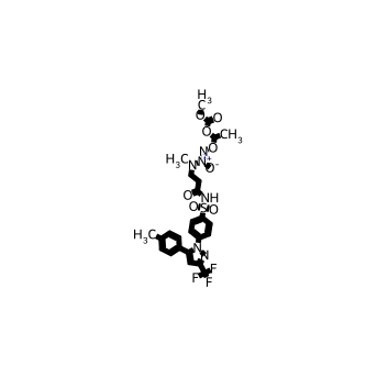 COC(=O)OC(C)O/N=[N+](\[O-])N(C)CCC(=O)NS(=O)(=O)c1ccc(-n2nc(C(F)(F)F)cc2-c2ccc(C)cc2)cc1